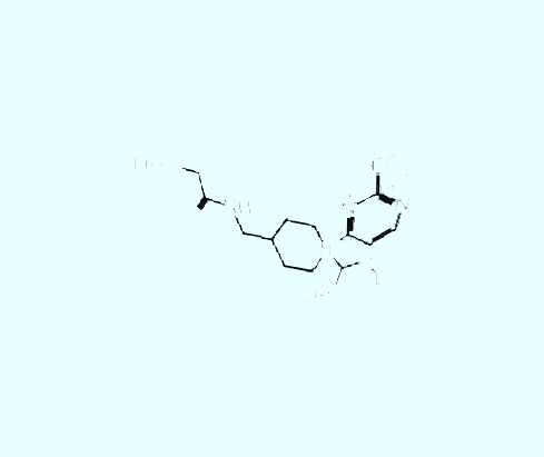 CCOC(=O)CC(=O)NCC1CC[N+](c2ccnc(C(F)(F)F)n2)(C(C=O)OCC)CC1